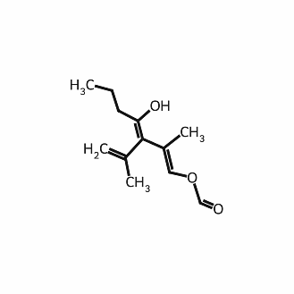 C=C(C)C(=C(/O)CCC)/C(C)=C/OC=O